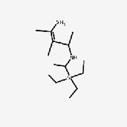 CC[Si](CC)(CC)C(C)NC(C)C(C)=C(C)[SiH3]